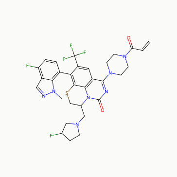 C=CC(=O)N1CCN(c2nc(=O)n3c4c(c(-c5ccc(F)c6cnn(C)c56)c(C(F)(F)F)cc24)SCC3CN2CCC(F)C2)CC1